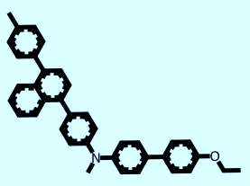 CCOc1ccc(-c2ccc(N(C)c3ccc(-c4ccc(-c5ccc(C)cc5)c5ccccc45)cc3)cc2)cc1